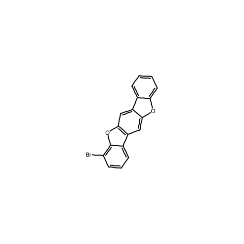 Brc1cccc2c1oc1cc3c(cc12)oc1ccccc13